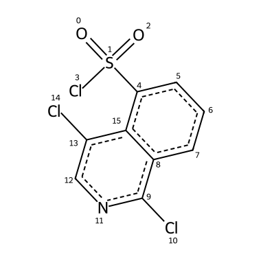 O=S(=O)(Cl)c1cccc2c(Cl)ncc(Cl)c12